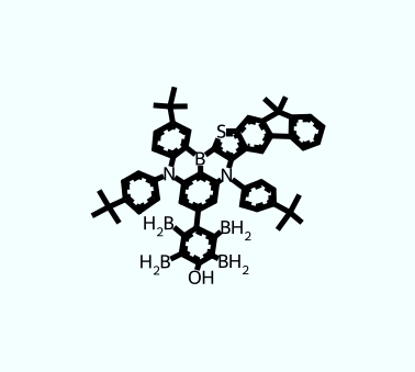 Bc1c(B)c(-c2cc3c4c(c2)N(c2ccc(C(C)(C)C)cc2)c2c(sc5cc6c(cc25)-c2ccccc2C6(C)C)B4c2cc(C(C)(C)C)ccc2N3c2ccc(C(C)(C)C)cc2)c(B)c(B)c1O